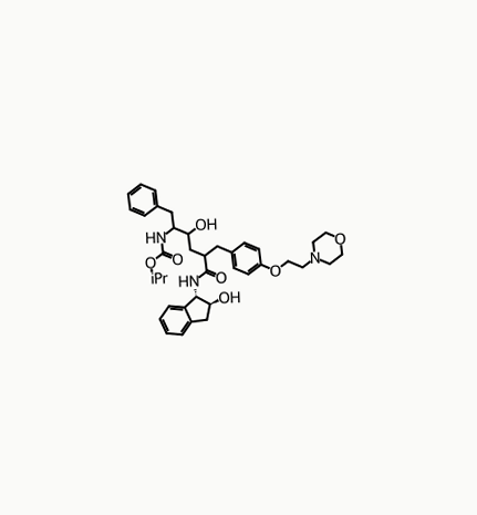 CC(C)OC(=O)NC(Cc1ccccc1)C(O)CC(Cc1ccc(OCCN2CCOCC2)cc1)C(=O)N[C@H]1c2ccccc2C[C@@H]1O